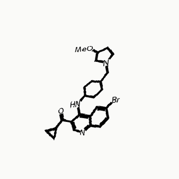 COC1CCN(CC2CCC(Nc3c(C(=O)C4CC4)cnc4ccc(Br)cc34)CC2)C1